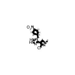 Cn1cc(C2=NNNN2Cc2ccc([N+](=O)[O-])cc2)c(Cl)n1